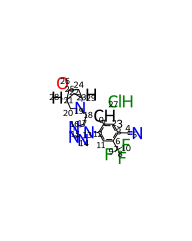 Cc1cc(C#N)c(C(F)(F)F)cc1-n1nnnc1CN1C[C@@H]2C[C@H]1CC2=O.Cl